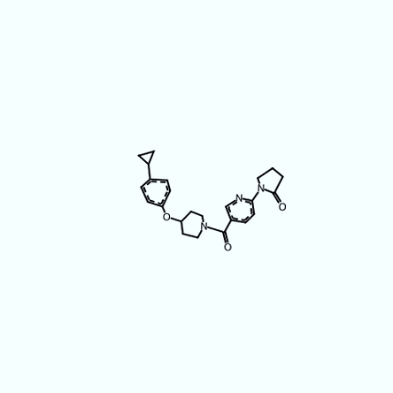 O=C(c1ccc(N2CCCC2=O)nc1)N1CCC(Oc2ccc(C3CC3)cc2)CC1